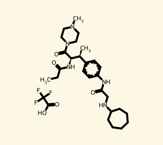 CCC(=O)N[C@@H](C(=O)N1CCN(C)CC1)[C@@H](C)c1ccc(NC(=O)CNC2CCCCCC2)cc1.O=C(O)C(F)(F)F